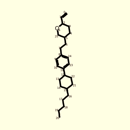 C=CC1CCC(CCc2ccc(C3CCC(CCCCC)CC3)cc2)CO1